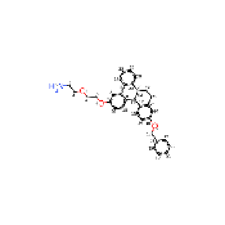 NCCOCCOc1ccc([C@@H]2c3ccc(OCc4ccccc4)cc3CC[C@@H]2c2ccccc2)cc1